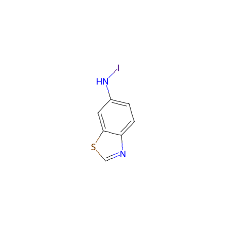 INc1ccc2ncsc2c1